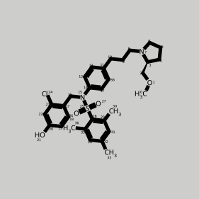 COC[C@@H]1CCCN1CCCc1ccc(N(Cc2ccc(O)cc2Cl)S(=O)(=O)c2c(C)cc(C)cc2C)cc1